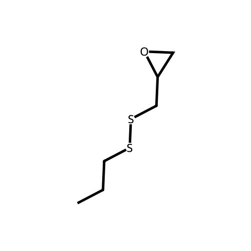 CCCSSCC1CO1